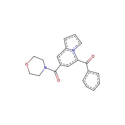 O=C(c1ccccc1)c1cc(C(=O)N2CCOCC2)cc2cccn12